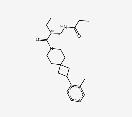 CCC(=O)NC[C@@H](CC)C(=O)N1CCC2(CC1)CC(c1ccccc1C)C2